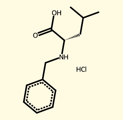 CC(C)C[C@H](NCc1ccccc1)C(=O)O.Cl